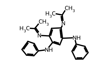 CC(C)=Nc1cc(N=C(C)C)c(Nc2ccccc2)cc1Nc1ccccc1